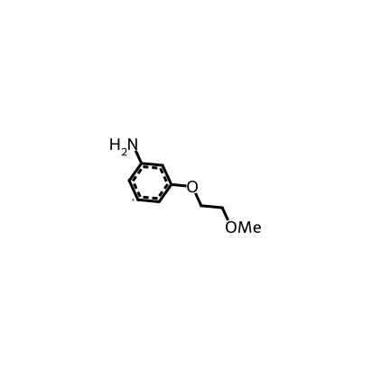 COCCOc1c[c]cc(N)c1